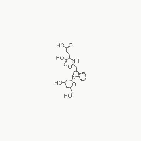 O=C(O)CCC(NC(=O)Cc1cn(C2CC(O)CC(CO)O2)c2ccccc12)C(=O)O